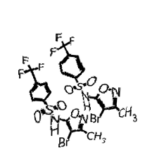 Cc1noc(NS(=O)(=O)c2ccc(C(F)(F)F)cc2)c1Br.Cc1noc(NS(=O)(=O)c2ccc(C(F)(F)F)cc2)c1Br